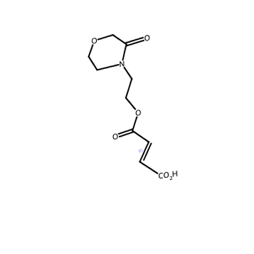 O=C(O)/C=C/C(=O)OCCN1CCOCC1=O